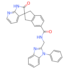 O=C(NCc1nc2ccccc2n1-c1ccccc1)c1ccc2c(c1)CC1(C2)C(=O)Nc2ncccc21